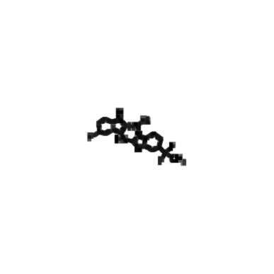 CCNn1c(Nc2c[nH]c3ccc(F)cc23)nc2cc(C(C)(F)F)ccc21